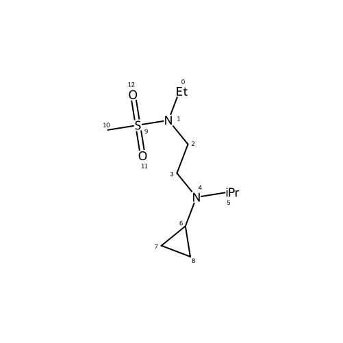 CCN(CCN(C(C)C)C1CC1)S(C)(=O)=O